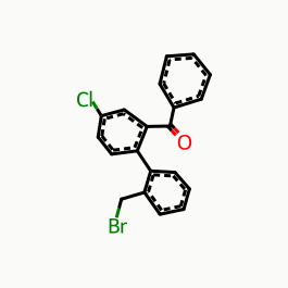 O=C(c1ccccc1)c1cc(Cl)ccc1-c1ccccc1CBr